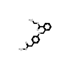 CCOC(=O)c1ccccc1COc1ccc(CC(=O)OC)cc1